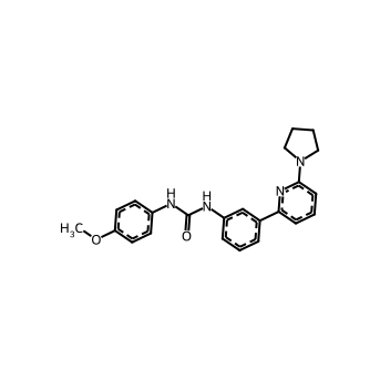 COc1ccc(NC(=O)Nc2cccc(-c3cccc(N4CCCC4)n3)c2)cc1